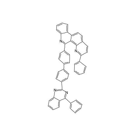 c1ccc(-c2ccc3ccc4c5ccccc5nc(-c5ccc(-c6ccc(-c7nc(-c8ccccc8)c8ccccc8n7)cc6)cc5)c4c3n2)cc1